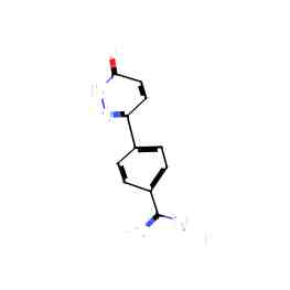 N=C(NO)c1ccc(-c2ccc(=O)[nH]n2)cc1